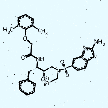 Cc1cccc(C)c1OCC(=O)N[C@@H](Cc1ccccc1)[C@H](O)CN(CC(C)C)S(=O)(=O)c1ccc2nc(N)sc2c1